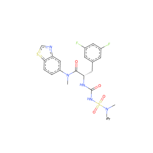 CC(C)N(C)S(=O)(=O)NC(=O)N[C@@H](Cc1cc(F)cc(F)c1)C(=O)N(C)c1ccc2scnc2c1